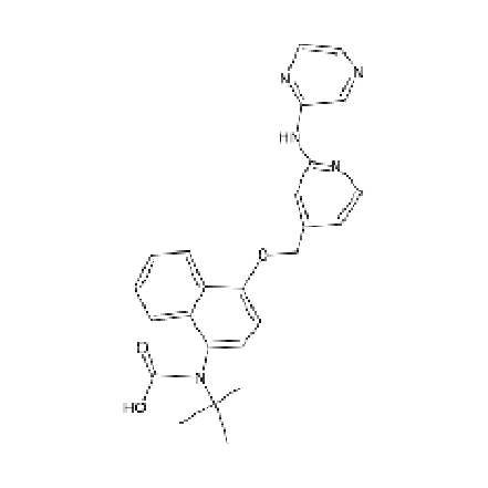 CC(C)(C)N(C(=O)O)c1ccc(OCc2ccnc(Nc3cnccn3)c2)c2ccccc12